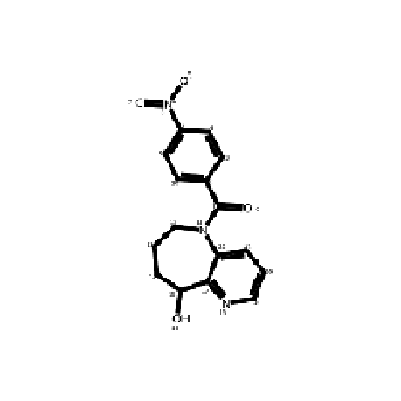 O=C(c1ccc([N+](=O)[O-])cc1)N1CCCC(O)c2ncccc21